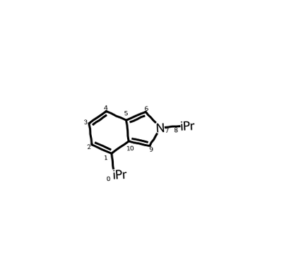 CC(C)c1cccc2cn(C(C)C)cc12